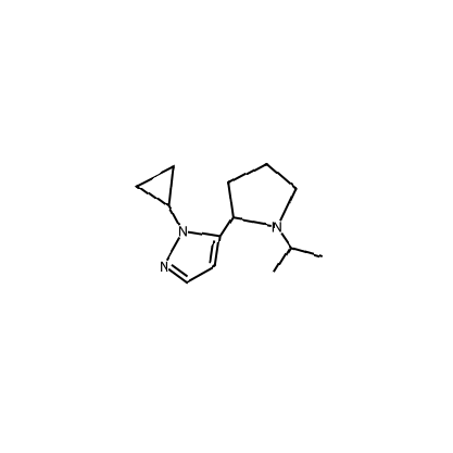 CC(C)N1CCCC1c1ccnn1C1CC1